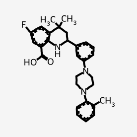 Cc1ccccc1N1CCN(c2cccc(C3CC(C)(C)c4cc(F)cc(C(=O)O)c4N3)c2)CC1